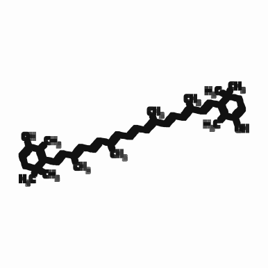 CC1=C(/C=C/C(C)=C/C=C/C(C)=C/C=C/C=C(C)/C=C/C=C(C)/C=C/C2=C(C)C(O)=CCC2(C)C)C(C)(C)CC=C1O